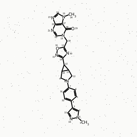 Cn1cc(-c2ccc(N3CC4C(C3)C4c3noc(Cn4cnc5ncn(C)c5c4=O)n3)cc2)cn1